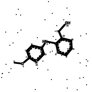 COc1ccc(Nc2ncccc2CO)cn1